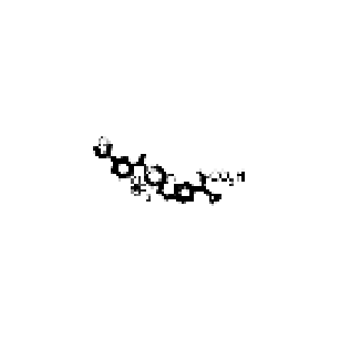 CC(c1cc(-c2ccoc2)ccc1OC(F)(F)F)N1CCC2(CCc3ccc(C(C4CC4)[C@H](C)C(=O)O)cc3O2)CC1